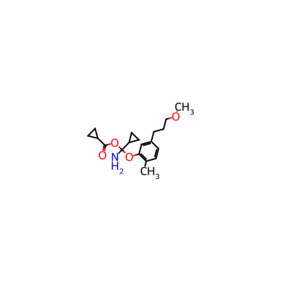 COCCCc1ccc(C)c(OC(N)(OC(=O)C2CC2)C2CC2)c1